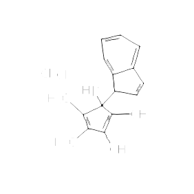 CC1=C(C)[C]([Hf+2])(C2C=Cc3ccccc32)C(C)=C1C.[Cl-].[Cl-]